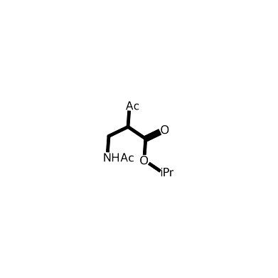 CC(=O)NCC(C(C)=O)C(=O)OC(C)C